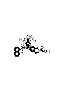 CC(C)(C)c1cc(NC(=O)Nc2cccc3ccccc23)n(-c2ccc3c(c2)CN(C(=O)CO)CC3)n1